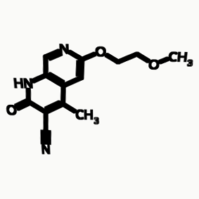 COCCOc1cc2c(C)c(C#N)c(=O)[nH]c2cn1